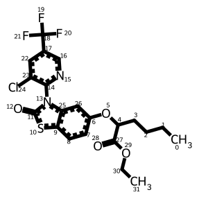 CCCCC(Oc1ccc2sc(=O)n(-c3ncc(C(F)(F)F)cc3Cl)c2c1)C(=O)OCC